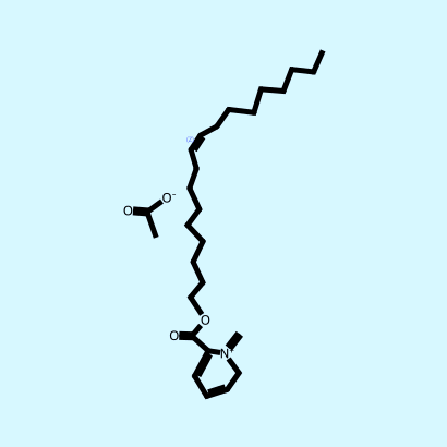 C=[N+]1CC=CC=C1C(=O)OCCCCCCCC/C=C\CCCCCCCC.CC(=O)[O-]